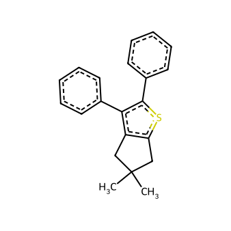 CC1(C)Cc2sc(-c3ccccc3)c(-c3ccccc3)c2C1